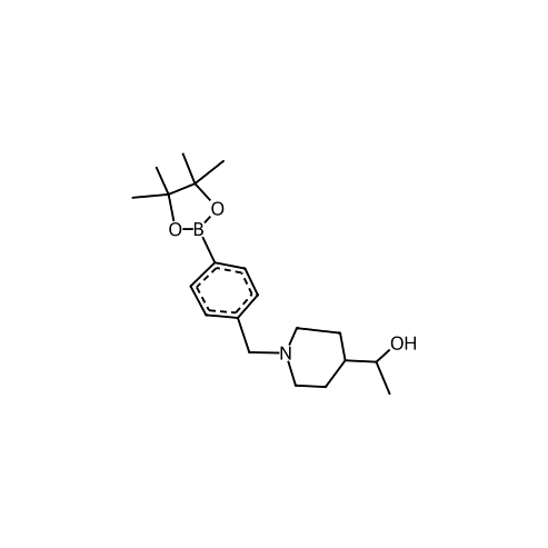 CC(O)C1CCN(Cc2ccc(B3OC(C)(C)C(C)(C)O3)cc2)CC1